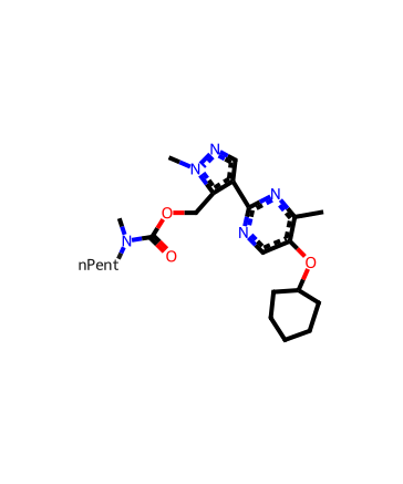 CCCCCN(C)C(=O)OCc1c(-c2ncc(OC3CCCCC3)c(C)n2)cnn1C